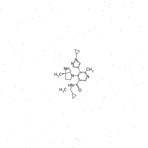 Cc1ncc(C(=O)N[C@@H](C)C2CC2)c(N2CC[C@](C)(N)C2)c1-c1cnn(C2CC2)c1